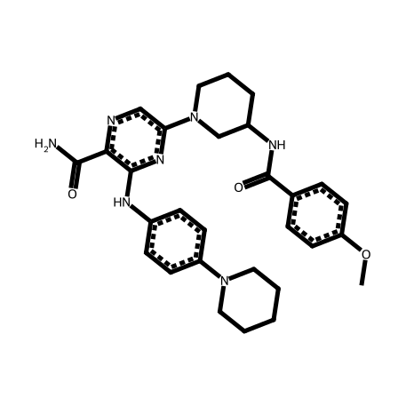 COc1ccc(C(=O)NC2CCCN(c3cnc(C(N)=O)c(Nc4ccc(N5CCCCC5)cc4)n3)C2)cc1